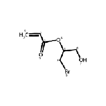 C=CC(=O)OC(CO)CBr